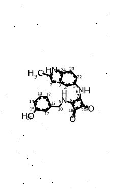 Cc1cc2cc(Nc3c(NCc4cccc(O)c4)c(=O)c3=O)ccc2[nH]1